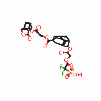 O=C(COC(=O)C(F)(F)S(=O)(=O)O)OC1C2CC3CC1CC(C(=O)OCC(=O)OC1C4CC5C(=O)OC1C5C4)(C3)C2